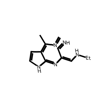 C=N/C(C)=C1/C=CN/C1=N/C(C=N)=C/NCC